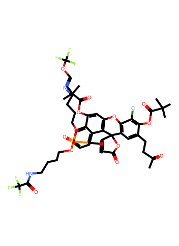 CC(=O)CCc1cc2c(c(Cl)c1OC(=O)C(C)(C)C)Oc1cc(OC(=O)C(C)(C)C)c3ccccc3c1C21OC(=O)c2ccc(P(=O)(OCCCC/N=C/OC(F)(F)F)OCCCCNC(=O)C(F)(F)F)cc21